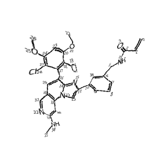 C=CC(=O)NCc1cccc(-c2cn3c(n2)c(-c2c(Cl)c(OC)cc(OC)c2Cl)cc2cnc(NC)cc23)c1